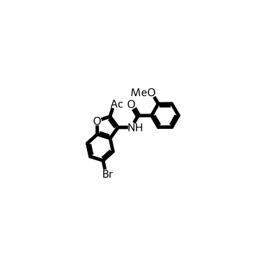 COc1ccccc1C(=O)Nc1c(C(C)=O)oc2ccc(Br)cc12